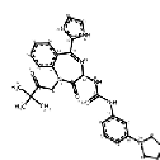 CC(C)(C)C(=O)CN1C(=O)[C@H](NC(=O)Nc2cccc(N3CCCC3)c2)N=C(c2ncc[nH]2)c2ccccc21